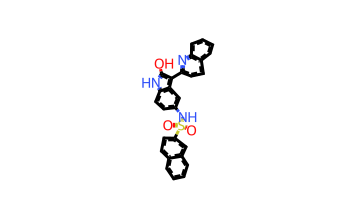 O=S(=O)(Nc1ccc2[nH]c(O)c(-c3ccc4ccccc4n3)c2c1)c1ccc2ccccc2c1